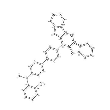 CCN(c1ccc(-c2ccc(-c3c4oc5ccccc5c4cc4c3oc3ccccc34)cc2)cc1)c1ccccc1N